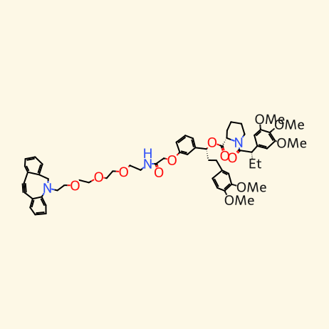 CC[C@H](C(=O)N1CCCC[C@H]1C(=O)O[C@H](CCc1ccc(OC)c(OC)c1)c1cccc(OCC(=O)NCCOCCOCCOCCN2Cc3ccccc3C#Cc3ccccc32)c1)c1cc(OC)c(OC)c(OC)c1